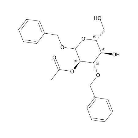 CC(=O)O[C@H]1C(OCc2ccccc2)O[C@H](CO)[C@@H](O)[C@@H]1OCc1ccccc1